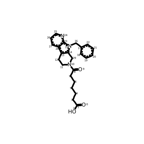 O=C(O)CCCCCC(=O)N1CCc2c(n(Cc3ccccc3)c3ncccc23)C1